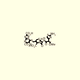 CO/N=C(\C(=O)N[C@@H]1C(=O)N2C(C(=O)O)=C(CSc3c(C(=O)O)cnc4nc(C(=O)O)nn34)CS[C@H]12)c1csc(N)n1